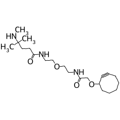 CNC(C)(C)CCC(=O)NCCOCCNC(=O)COC1C#CCCCCC1